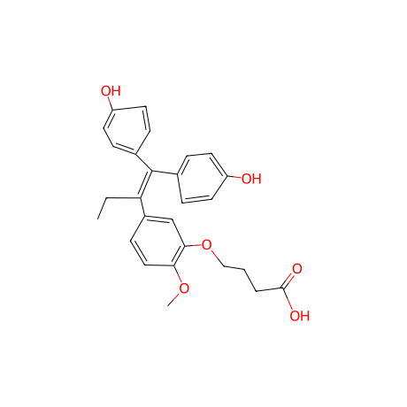 CCC(=C(c1ccc(O)cc1)c1ccc(O)cc1)c1ccc(OC)c(OCCCC(=O)O)c1